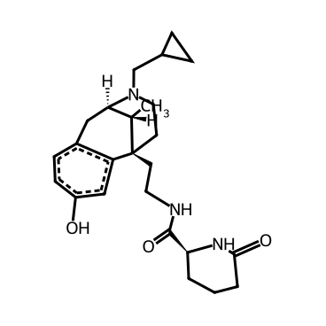 C[C@H]1[C@H]2Cc3ccc(O)cc3[C@@]1(CCNC(=O)[C@@H]1CCCC(=O)N1)CCN2CC1CC1